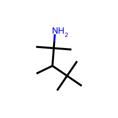 CC(C(C)(C)C)C(C)(C)N